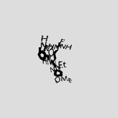 CCn1c([C@H](CCCNC(=N)CF)NC(=O)c2cccc3c2C(=O)NC3)nc2cc(OC)ccc21